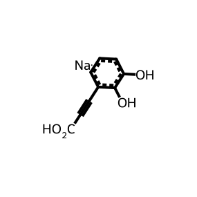 O=C(O)C#Cc1cccc(O)c1O.[Na]